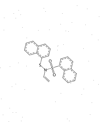 C=CN(Sc1cccc2ccccc12)S(=O)(=O)c1cccc2ccccc12